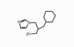 CC(C)CC(CC1CCCCC1)Cn1ccnc1